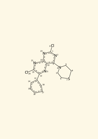 Clc1nc(N2CCSCC2)c2nc(-c3ccccc3)c(Cl)nc2n1